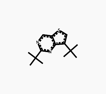 CC(C)(C)c1ncc2scc(C(C)(C)C)c2n1